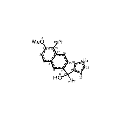 COc1ccc2cc(C(O)(c3c[nH]cn3)C(C)C)ccc2c1C(C)C